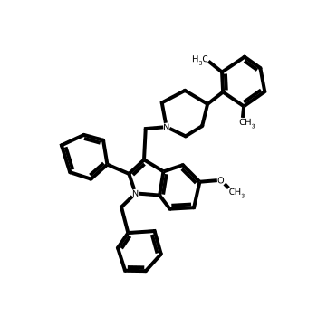 COc1ccc2c(c1)c(CN1CCC(c3c(C)cccc3C)CC1)c(-c1ccccc1)n2Cc1ccccc1